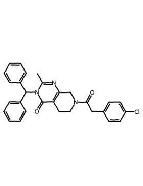 Cc1nc2c(c(=O)n1C(c1ccccc1)c1ccccc1)CCN(C(=O)Cc1ccc(Cl)cc1)C2